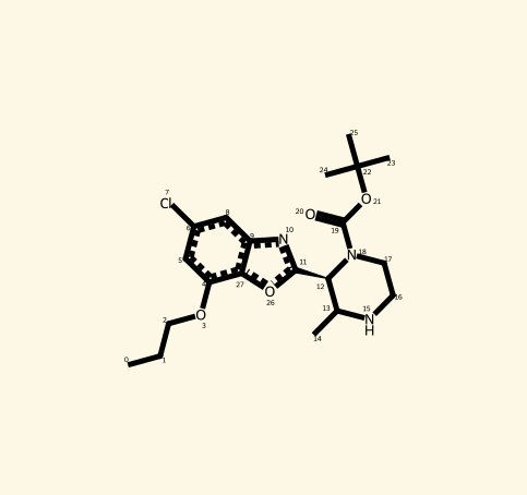 CCCOc1cc(Cl)cc2nc([C@@H]3C(C)NCCN3C(=O)OC(C)(C)C)oc12